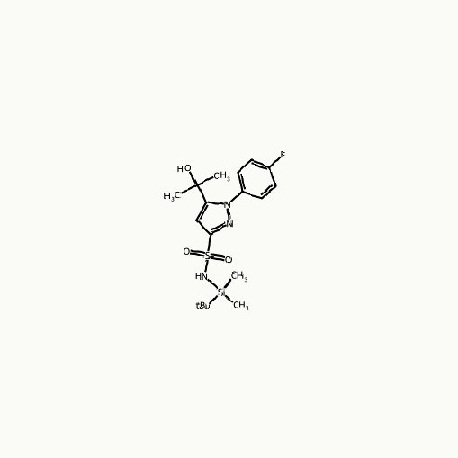 CC(C)(O)c1cc(S(=O)(=O)N[Si](C)(C)C(C)(C)C)nn1-c1ccc(F)cc1